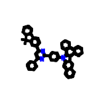 CC1(C)c2ccccc2-c2ccc(-c3cc(-c4ccccc4)nc(-c4ccc(-n5c6cc7ccccc7cc6c6c7ccccc7c7ccccc7c65)cc4)n3)cc21